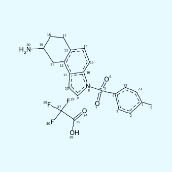 Cc1ccc(S(=O)(=O)n2ccc3c4c(ccc32)CCC(N)C4)cc1.O=C(O)C(F)(F)F